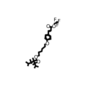 CC(C)C(C)(C)C(C)(C(=O)OCCCCCCOc1ccc(/C=C/C(=O)OCC(F)(F)F)cc1)C(C)(C)C(C)C